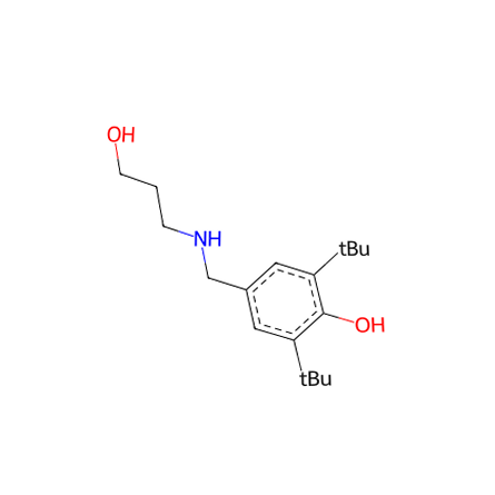 CC(C)(C)c1cc(CNCCCO)cc(C(C)(C)C)c1O